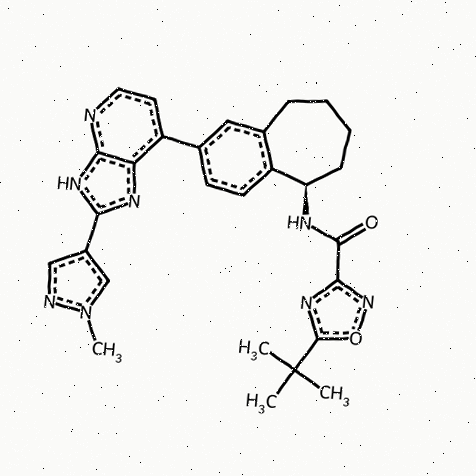 Cn1cc(-c2nc3c(-c4ccc5c(c4)CCCC[C@H]5NC(=O)c4noc(C(C)(C)C)n4)ccnc3[nH]2)cn1